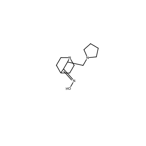 ON=C1C2CCN(CC2)C1CN1CCCC1